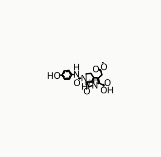 COC(=O)CC1=C(C(=O)O)N2C(=O)[C@@H]3[C@H]2C1CCN3C(=O)Nc1ccc(O)cc1